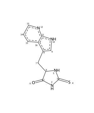 O=C1NC(=S)NC1Cc1c[nH]c2ncccc12